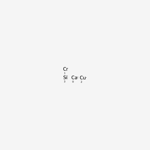 [Ca].[Cr].[Cu].[Si]